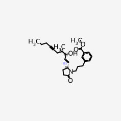 CCCC#CC[C@H](C)[C@H](O)/C=C/[C@H]1CCC(=O)N1CCCc1cccc(C(=O)OC)c1